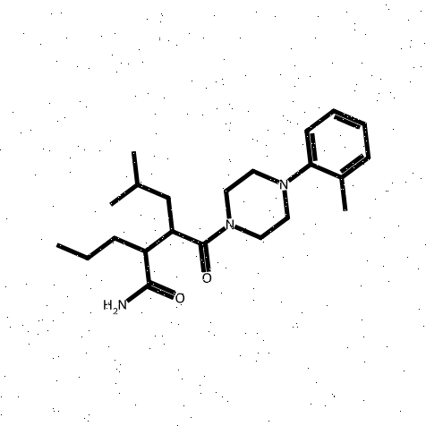 CCCC(C(N)=O)C(CC(C)C)C(=O)N1CCN(c2ccccc2C)CC1